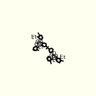 CCc1c(C)cccc1OP(=O)(Oc1ccc(C(C)(C)c2ccc(OP(=O)(Oc3cccc(C)c3CC)Oc3cccc(C)c3CC)cc2)cc1)Oc1cccc(C)c1CC